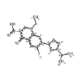 CCn1cc(C(=O)O)c(=O)c2cc(F)c(-c3csc(C(C)N)n3)cc21